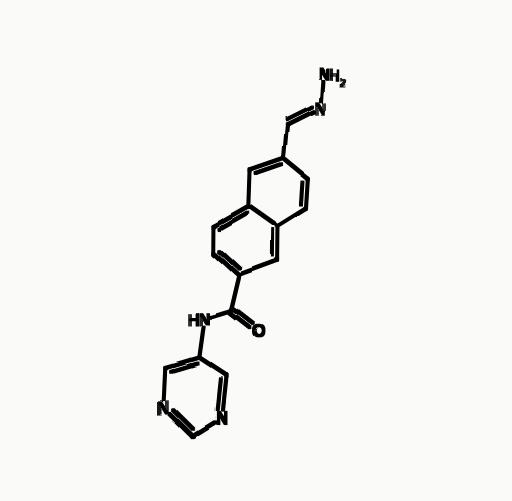 NN=Cc1ccc2cc(C(=O)Nc3cncnc3)ccc2c1